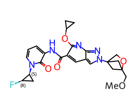 COCC12CC(n3cc4cc(C(=O)Nc5cccn([C@H]6C[C@H]6F)c5=O)c(OC5CC5)nc4n3)(CO1)C2